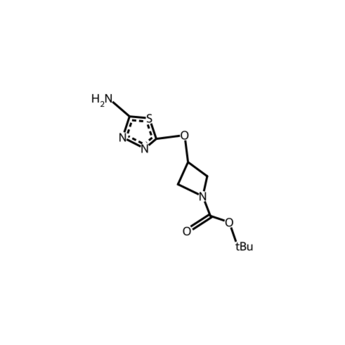 CC(C)(C)OC(=O)N1CC(Oc2nnc(N)s2)C1